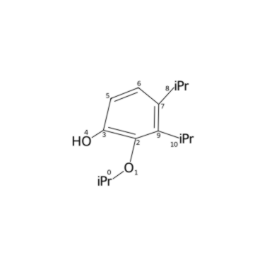 CC(C)Oc1c(O)ccc(C(C)C)c1C(C)C